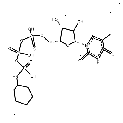 O=c1[nH]c(=O)n([C@@H]2O[C@H](COP(=O)(O)OP(=O)(O)OP(=O)(O)NC3CCCCC3)[C@H](O)C2O)cc1I